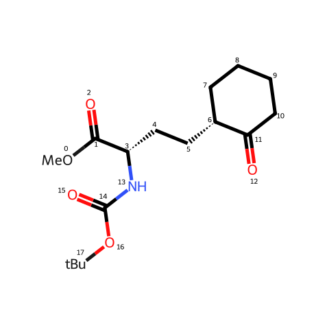 COC(=O)[C@H](CC[C@@H]1CCCCC1=O)NC(=O)OC(C)(C)C